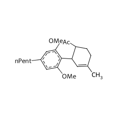 CCCCCc1cc(OC)c(C2C=C(C)CCC2C(C)=O)c(OC)c1